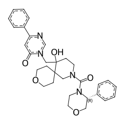 O=C(N1CCC(O)(Cn2cnc(-c3ccccc3)cc2=O)C2(CCOCC2)C1)N1CCOC[C@H]1c1ccccc1